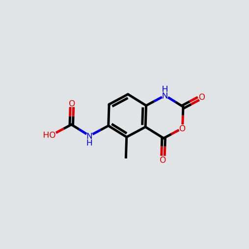 Cc1c(NC(=O)O)ccc2[nH]c(=O)oc(=O)c12